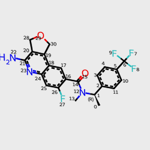 C[C@H](c1ccc(C(F)(F)F)cc1)N(C)C(=O)c1cc2c3c(c(N)nc2cc1F)COC3